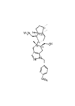 COc1ccc(Cn2ncc3c2C[C@H](CO)[C@@](C)([C@H]2CC[C@]4(C)[C@@H](C)CC[C@H]4[C@@H]2CN)C3)cc1